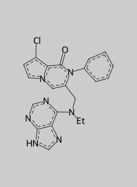 CCN(Cc1cn2ccc(Cl)c2c(=O)n1-c1ccccc1)c1ncnc2[nH]cnc12